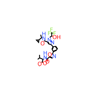 COC(=O)C(NC(=O)c1cnc(-c2cccc(-c3cc(C(=O)NC(C)C4CC4)n(CC(O)C(F)(F)F)n3)c2)o1)C(C)C